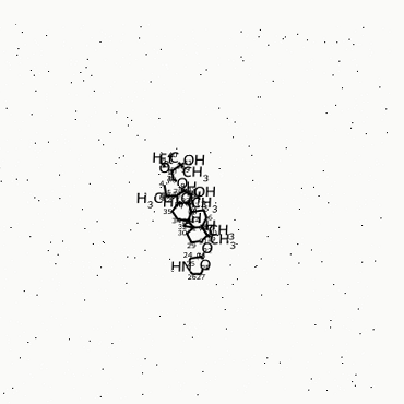 CCO[C@@H]([C@H]1C[C@@H](C)[C@H]2[C@H](O1)[C@H](O)[C@@]1(C)[C@@H]3CC[C@H]4C(C)(C)C(O[C@H]5CNCCO5)CCC45C[C@@]35CC[C@]21C)C(C)(C)O